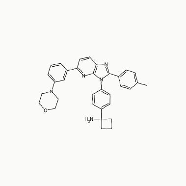 Cc1ccc(-c2nc3ccc(-c4cccc(N5CCOCC5)c4)nc3n2-c2ccc(C3(N)CCC3)cc2)cc1